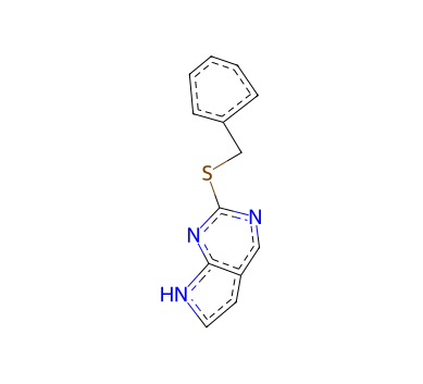 c1ccc(CSc2ncc3cc[nH]c3n2)cc1